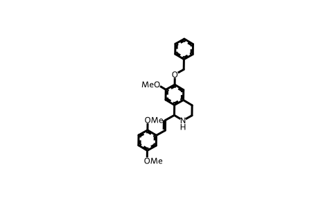 COc1ccc(OC)c(C=CC2NCCc3cc(OCc4ccccc4)c(OC)cc32)c1